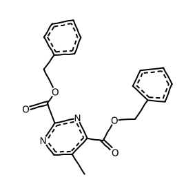 Cc1cnc(C(=O)OCc2ccccc2)nc1C(=O)OCc1ccccc1